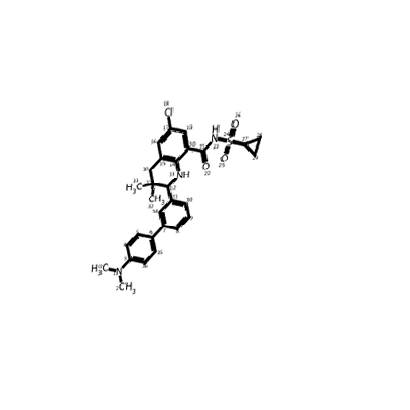 CN(C)c1ccc(-c2cccc(C3Nc4c(cc(Cl)cc4C(=O)NS(=O)(=O)C4CC4)CC3(C)C)c2)cc1